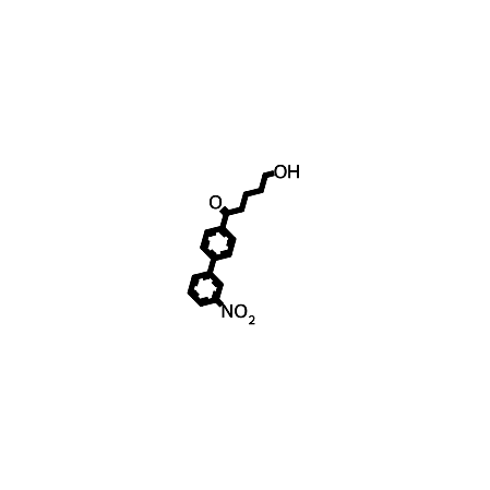 O=C(CCCCO)c1ccc(-c2cccc([N+](=O)[O-])c2)cc1